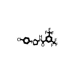 O=C(NC1CCN(c2ccc(Cl)cc2)C1)c1cc(C(F)(F)F)cc(C(F)(F)F)c1